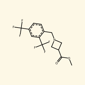 COC(=O)C1CN(Cc2ccc(C(F)(F)F)cc2C(F)(F)F)C1